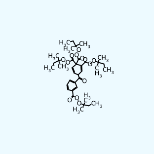 CCC(C)(C)OOC(=O)C1=CC(C(=O)c2cccc(C(=O)OOC(C)(C)CC)c2)C=CC1(C(=O)OOC(C)(C)CC)C(=O)OOC(C)(C)CC